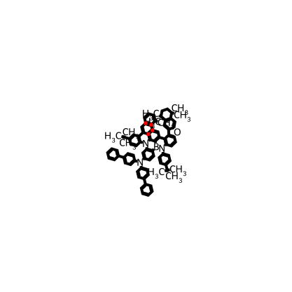 Cc1ccccc1-c1cc2c3c(c1)N(c1ccc(C(C)(C)C)cc1-c1ccccc1)c1cc(N(c4ccc(-c5ccccc5)cc4)c4ccc(-c5ccccc5)cc4)ccc1B3N(c1ccc(C(C)(C)C)cc1)c1ccc3oc4cc5c(cc4c3c1-2)C(C)(C)CCC5(C)C